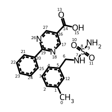 Cc1cccc(CNS(N)(=O)=O)c1.O=C(O)c1cnc(-c2ccccc2)nc1